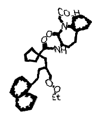 CCOOCC(CCc1cccc2ccccc12)CC1(C(=O)NC2CCc3ccccc3N(CC(=O)O)C2=O)CCCC1